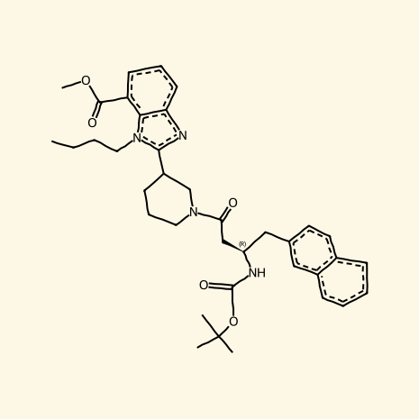 CCCCn1c(C2CCCN(C(=O)C[C@@H](Cc3ccc4ccccc4c3)NC(=O)OC(C)(C)C)C2)nc2cccc(C(=O)OC)c21